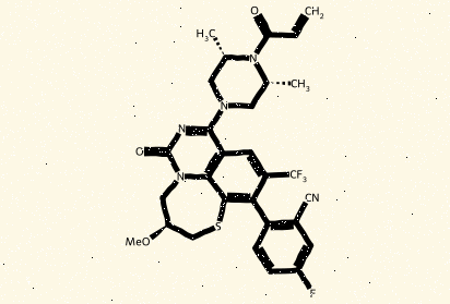 C=CC(=O)N1[C@H](C)CN(c2nc(=O)n3c4c(c(-c5ccc(F)cc5C#N)c(C(F)(F)F)cc24)SC[C@@H](OC)C3)C[C@@H]1C